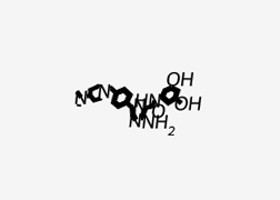 CN(C)C1CCN(Cc2ccc(-c3cnc(N)c(C(=O)Nc4cc(O)cc(O)c4)n3)cc2)CC1